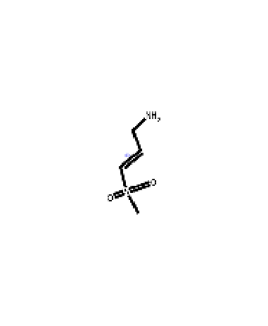 CS(=O)(=O)/C=C/CN